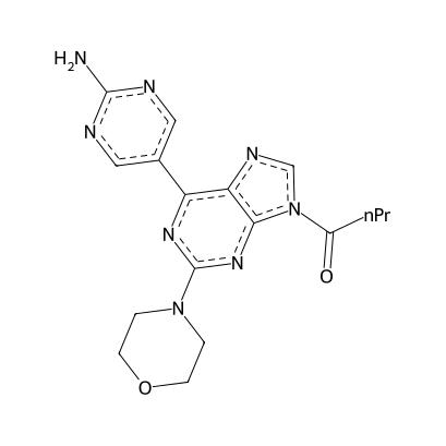 CCCC(=O)n1cnc2c(-c3cnc(N)nc3)nc(N3CCOCC3)nc21